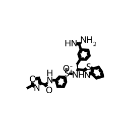 Cc1nc(C(=O)Nc2cccc([S+]([O-])N[C@@H](Cc3cccc(C(=N)N)c3)c3nc4ccccc4s3)c2)co1